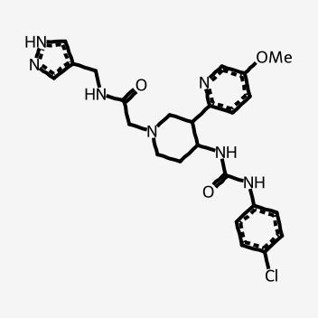 COc1ccc(C2CN(CC(=O)NCc3cn[nH]c3)CCC2NC(=O)Nc2ccc(Cl)cc2)nc1